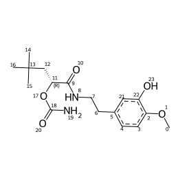 COc1ccc(CCNC(=O)[C@@H](CC(C)(C)C)OC(N)=O)cc1O